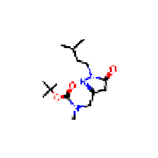 CC(C)CCN1N=C(CN(C)C(=O)OC(C)(C)C)CC1=O